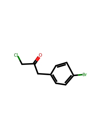 O=C(CCl)Cc1ccc(Br)cc1